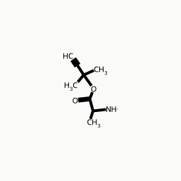 C#CC(C)(C)OC(=O)C(C)[NH]